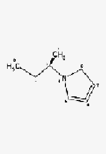 CC[C@@H](C)N1C=C=CC1